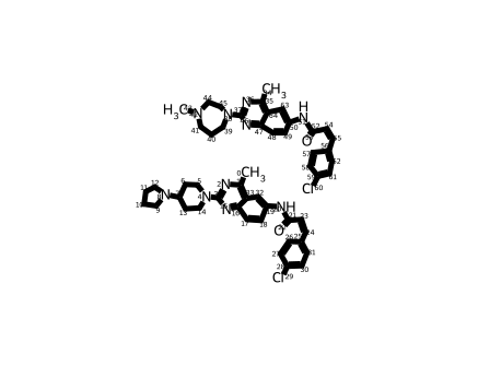 Cc1nc(N2CCC(N3CCCC3)CC2)nc2ccc(NC(=O)/C=C\c3ccc(Cl)cc3)cc12.Cc1nc(N2CCCN(C)CC2)nc2ccc(NC(=O)/C=C\c3ccc(Cl)cc3)cc12